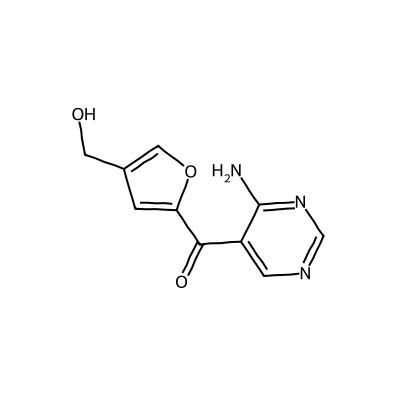 Nc1ncncc1C(=O)c1cc(CO)co1